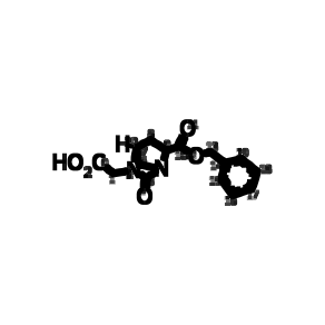 O=C(O)CN1C(=O)N2C[C@@H]1CC2C(=O)OCc1ccccc1